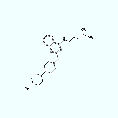 CC1CCC(N2CCN(Cc3nc(NCCCN(C)C)c4ccccc4n3)CC2)CC1